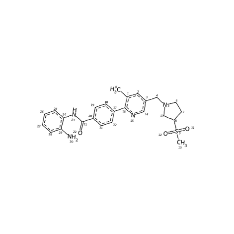 Cc1cc(CN2CCC(S(C)(=O)=O)C2)cnc1-c1ccc(C(=O)Nc2ccccc2N)cc1